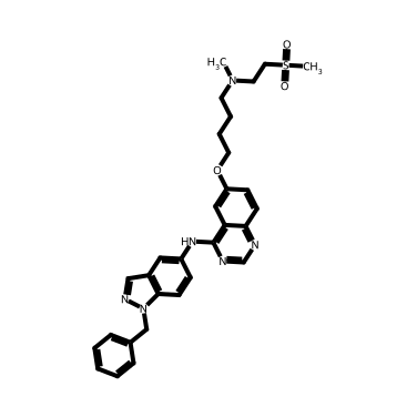 CN(CCCCOc1ccc2ncnc(Nc3ccc4c(cnn4Cc4ccccc4)c3)c2c1)CCS(C)(=O)=O